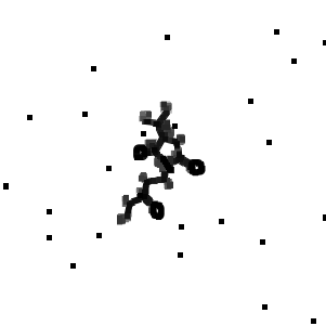 CCC(=O)CCN1C(=O)CC(C(C)C)C1=O